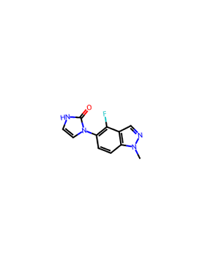 Cn1ncc2c(F)c(-n3cc[nH]c3=O)ccc21